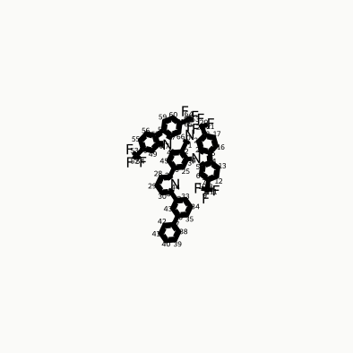 N#Cc1c(-n2c3cc(C(F)(F)F)ccc3c3ccc(C(F)(F)F)cc32)cc(-c2cccc(-c3cccc(-c4ccccc4)c3)n2)cc1-n1c2cc(C(F)(F)F)ccc2c2ccc(C(F)(F)F)cc21